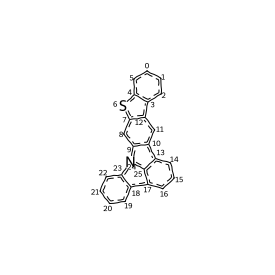 c1ccc2c(c1)sc1cc3c(cc12)c1cccc2c4ccccc4n3c21